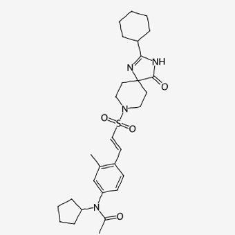 CC(=O)N(c1ccc(/C=C/S(=O)(=O)N2CCC3(CC2)N=C(C2CCCCC2)NC3=O)c(C)c1)C1CCCC1